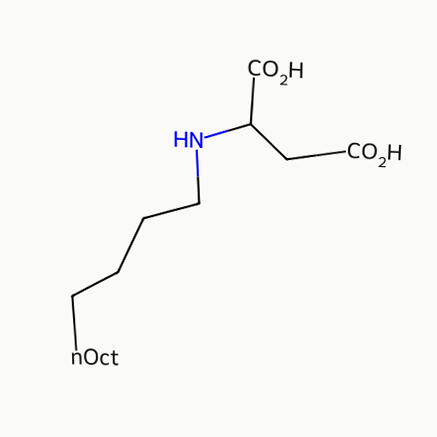 CCCCCCCCCCCCNC(CC(=O)O)C(=O)O